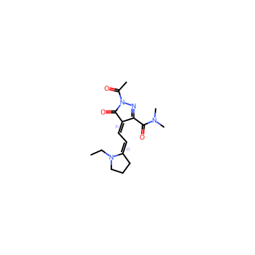 CCN1CCC/C1=C/C=C1/C(=O)N(C(C)=O)N=C1C(=O)N(C)C